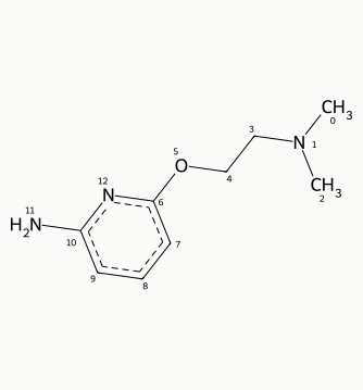 CN(C)CCOc1cccc(N)n1